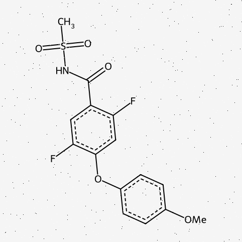 COc1ccc(Oc2cc(F)c(C(=O)NS(C)(=O)=O)cc2F)cc1